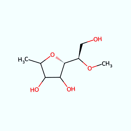 CO[C@H](CO)[C@H]1OC(C)C(O)C1O